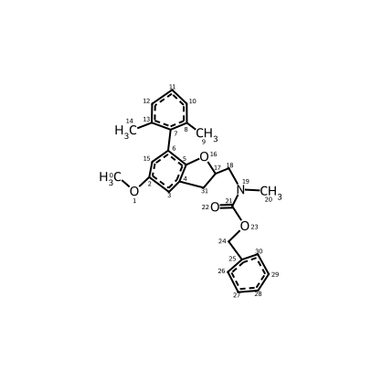 COc1cc2c(c(-c3c(C)cccc3C)c1)OC(CN(C)C(=O)OCc1ccccc1)C2